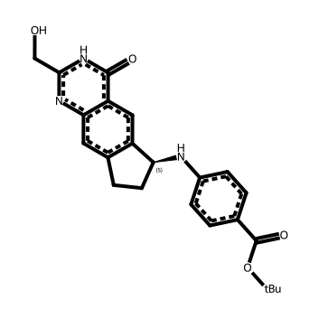 CC(C)(C)OC(=O)c1ccc(N[C@H]2CCc3cc4nc(CO)[nH]c(=O)c4cc32)cc1